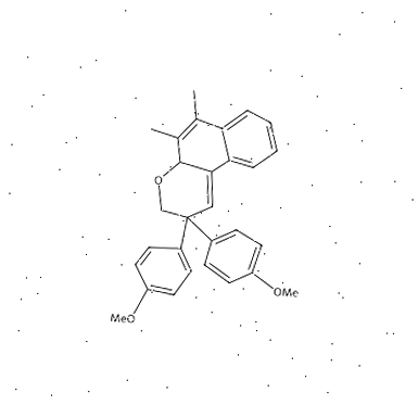 COc1ccc(C2(c3ccc(OC)cc3)C=C3c4ccccc4C(C)=C(C)C3OC2)cc1